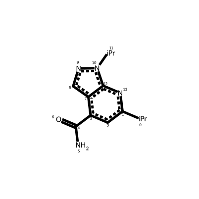 CC(C)c1cc(C(N)=O)c2cnn(C(C)C)c2n1